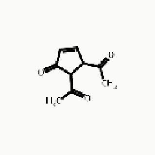 CC(=O)C1C=CC(=O)C1C(C)=O